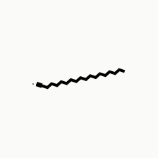 [C]#CCCCCCCCCCCCCCCCCC